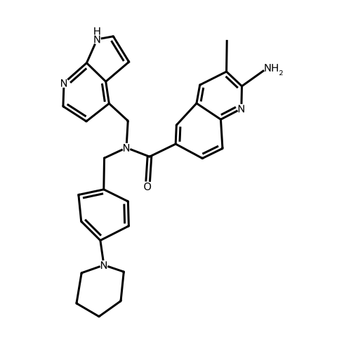 Cc1cc2cc(C(=O)N(Cc3ccc(N4CCCCC4)cc3)Cc3ccnc4[nH]ccc34)ccc2nc1N